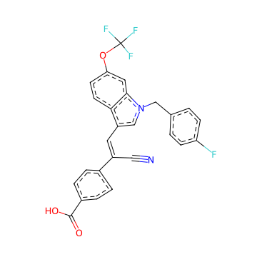 N#CC(=Cc1cn(Cc2ccc(F)cc2)c2cc(OC(F)(F)F)ccc12)c1ccc(C(=O)O)cc1